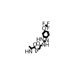 CC(=N)C(=O)N(C)CC(=O)Nc1nc2ccc(OC(F)(F)F)cc2[nH]1